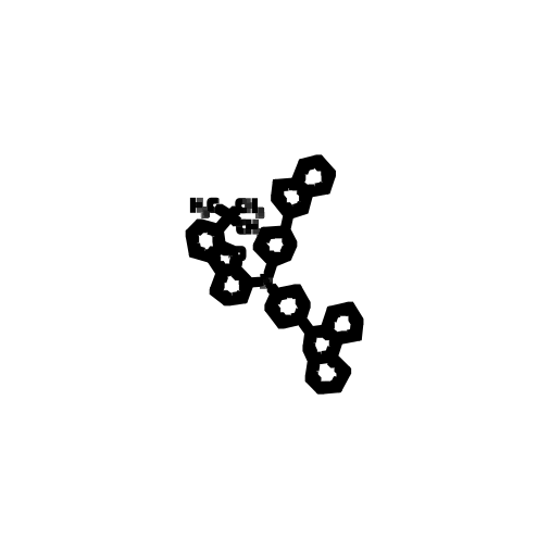 CC(C)(C)c1cccc2c1oc1c(N(c3ccc(-c4ccc5ccccc5c4)cc3)c3ccc(-c4cc5ccccc5c5ccccc45)cc3)cccc12